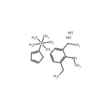 CCc1cccc(CC)c1NC.Cl.Cl.[CH3][Ti]([CH3])([CH3])([CH3])([CH3])[C]1=CC=CC1